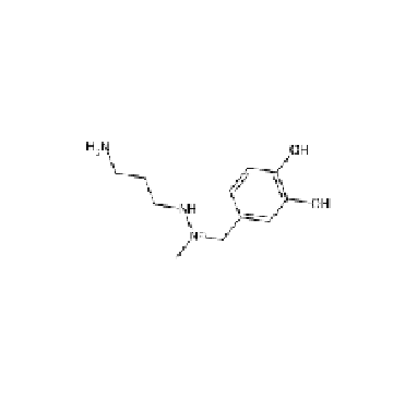 C[N+](Cc1ccc(O)c(O)c1)NCCCN